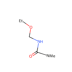 CCOCNC(=O)NC